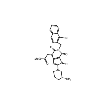 CCn1c(N2CCCC(N)C2)nc2c1c(=O)n(Cc1ncc3ccccc3c1C#N)c(=O)n2CC(=O)OC